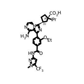 CCOc1cc(C(=O)Nc2cc(C(F)(F)F)n(C)n2)ccc1-c1nc([C@H]2CC[C@](C(=O)O)(C(C)C)C2)n2ccnc(N)c12